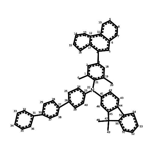 Cc1cc(-c2cc3ccccc3c3ccccc23)cc(C)c1N(c1ccc(-c2ccc(-c3ccccc3)cc2)cc1)c1ccc2c(c1)C(C)(C)c1ccccc1-2